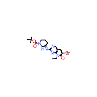 CCn1c(=O)c(Br)cc2cnc(N[C@H]3CCCN(C(=O)OC(C)(C)C)C3)nc21